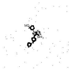 C[C@@]1(O)CCC[C@@H](n2nc(-c3ccc(Oc4ccccc4)cc3)c3c(N)ncnc32)C1